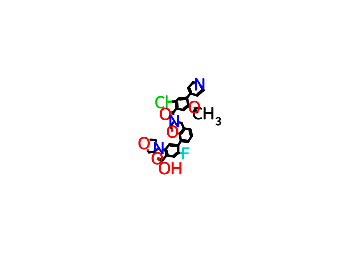 COc1cc(C(=O)N2COc3c(cccc3-c3cc(N4CCOCC4)c(C(=O)O)cc3F)C2)c(Cl)cc1-c1ccncc1